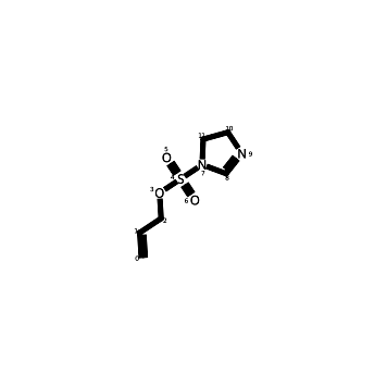 C=CCOS(=O)(=O)N1C=NCC1